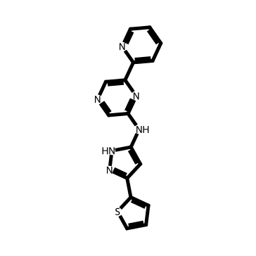 c1ccc(-c2cncc(Nc3cc(-c4cccs4)n[nH]3)n2)nc1